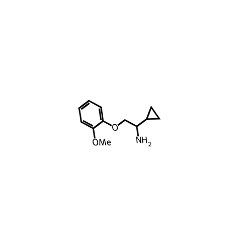 COc1ccccc1OCC(N)C1CC1